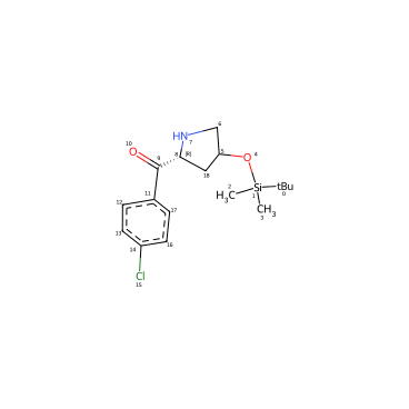 CC(C)(C)[Si](C)(C)OC1CN[C@@H](C(=O)c2ccc(Cl)cc2)C1